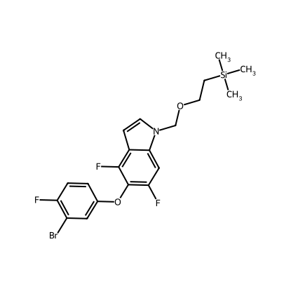 C[Si](C)(C)CCOCn1ccc2c(F)c(Oc3ccc(F)c(Br)c3)c(F)cc21